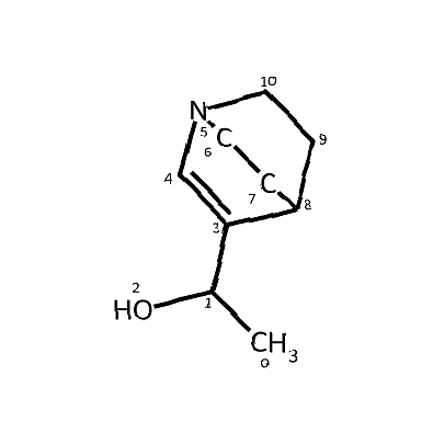 CC(O)C1=CN2CCC1CC2